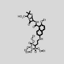 CCOOP(=O)(OOCC)C(CCNc1ccc2c(C(=O)NC3C(=O)N4C3SC(C)(C)C4C(=O)O)c(OCC)ccc2c1)P(=O)(OOCC)OOCC